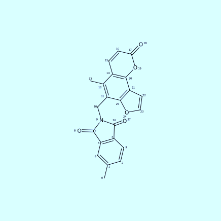 Cc1ccc2c(c1)C(=O)N(Cc1c(C)c3ccc(=O)oc3c3ccoc13)C2=O